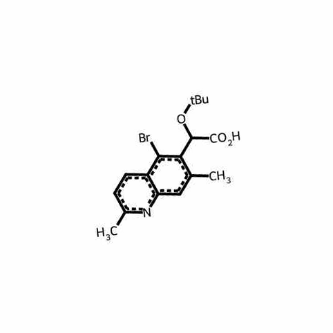 Cc1ccc2c(Br)c(C(OC(C)(C)C)C(=O)O)c(C)cc2n1